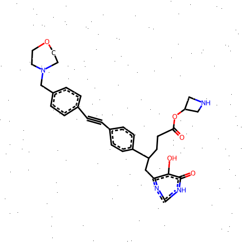 O=C(CCC(Cc1nc[nH]c(=O)c1O)c1ccc(C#Cc2ccc(CN3CCOCC3)cc2)cc1)OC1CNC1